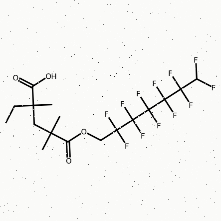 CCC(C)(CC(C)(C)C(=O)OCC(F)(F)C(F)(F)C(F)(F)C(F)(F)C(F)(F)C(F)F)C(=O)O